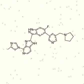 Cc1cn(-c2nccc3[nH]c(-c4n[nH]c5cc(F)c(-c6cncc(CN7CCCC7)c6)cc45)nc23)cn1